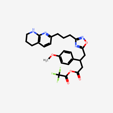 COc1ccc(C(CC(=O)OC(=O)C(F)(F)F)Cc2nc(CCCc3ccc4c(n3)NCCC4)no2)cc1